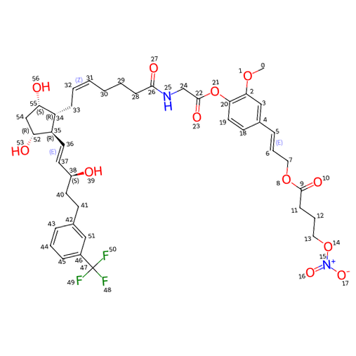 COc1cc(/C=C/COC(=O)CCCO[N+](=O)[O-])ccc1OC(=O)CNC(=O)CCC/C=C\C[C@@H]1[C@@H](/C=C/[C@@H](O)CCc2cccc(C(F)(F)F)c2)[C@H](O)C[C@@H]1O